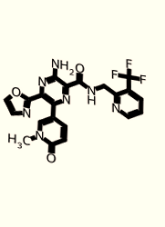 Cn1cc(-c2nc(C(=O)NCc3ncccc3C(F)(F)F)c(N)nc2-c2ncco2)ccc1=O